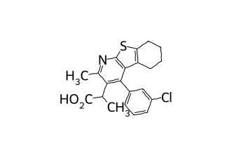 Cc1nc2sc3c(c2c(-c2cccc(Cl)c2)c1C(C)C(=O)O)CCCC3